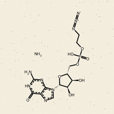 N.[N-]=[N+]=NCCOP(=O)(O)OC[C@H]1O[C@@H](n2cnc3c(=O)[nH]c(N)nc32)[C@H](O)[C@@H]1O